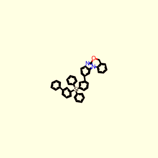 c1ccc(-c2cccc([Si](c3ccccc3)(c3ccccc3)c3cccc(-c4ccc5nc6n(c5c4)-c4ccccc4CO6)c3)c2)cc1